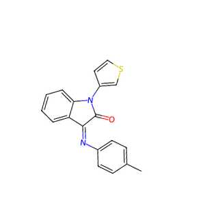 Cc1ccc(/N=C2\C(=O)N(c3ccsc3)c3ccccc32)cc1